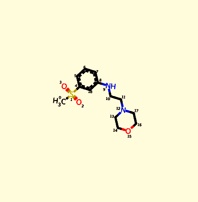 CS(=O)(=O)c1cc[c]c(NCCN2CCOCC2)c1